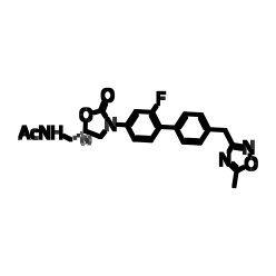 CC(=O)NC[C@H]1CN(c2ccc(-c3ccc(Cc4noc(C)n4)cc3)c(F)c2)C(=O)O1